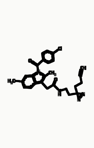 C#CCCC1(CCNC(=O)Cc2c(C)n(C(=O)c3ccc(Cl)cc3)c3cc(C)ccc23)N=N1